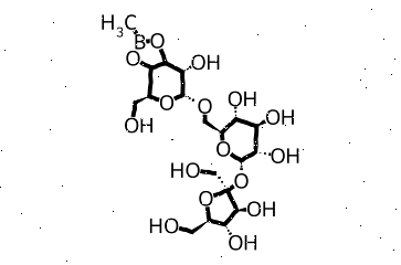 CB1OC2C(O1)[C@H](O)[C@H](OC[C@@H]1O[C@@H](O[C@]3(CO)O[C@H](CO)[C@@H](O)[C@@H]3O)[C@@H](O)[C@H](O)[C@H]1O)O[C@H]2CO